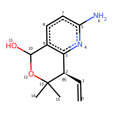 C=C[C@@H]1c2nc(N)ccc2C(O)OC1(C)C